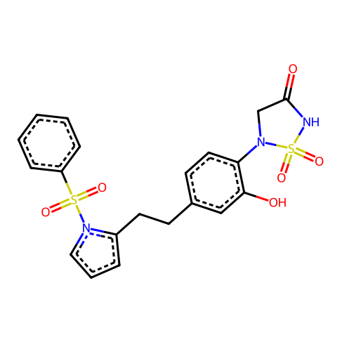 O=C1CN(c2ccc(CCc3cccn3S(=O)(=O)c3ccccc3)cc2O)S(=O)(=O)N1